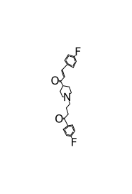 O=C(CCCN1CCC(C(=O)/C=C/c2ccc(F)cc2)CC1)c1ccc(F)cc1